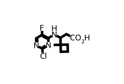 CC1(C(CC(=O)O)Nc2nc(Cl)ncc2F)CCC1